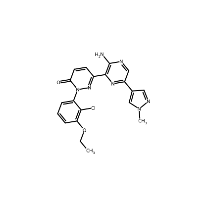 CCOc1cccc(-n2nc(-c3nc(-c4cnn(C)c4)cnc3N)ccc2=O)c1Cl